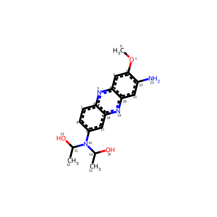 COc1cc2nc3ccc(N(C(C)O)C(C)O)cc3nc2cc1N